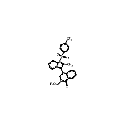 Cc1c(-c2cn(CC(F)(F)F)c(=O)c3ccccc23)c2ccccc2n1S(=O)(=O)c1ccc(C(F)(F)F)cc1